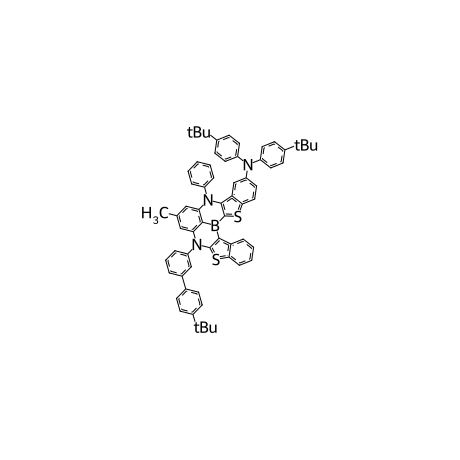 Cc1cc2c3c(c1)N(c1ccccc1)c1c(sc4ccc(N(c5ccc(C(C)(C)C)cc5)c5ccc(C(C)(C)C)cc5)cc14)B3c1c(sc3ccccc13)N2c1cccc(-c2ccc(C(C)(C)C)cc2)c1